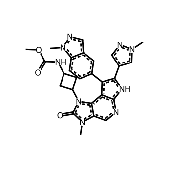 COC(=O)NC1CC(n2c(=O)n(C)c3cnc4[nH]c(-c5cnn(C)c5)c(-c5ccc6c(cnn6C)c5)c4c32)C1